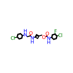 O=C(CNc1ccc(Cl)cc1)NC12CC(COC(=O)Nc3ccc(Cl)c(F)c3)(C1)C2